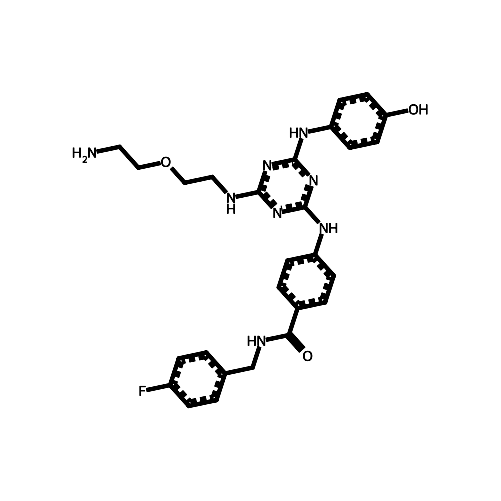 NCCOCCNc1nc(Nc2ccc(O)cc2)nc(Nc2ccc(C(=O)NCc3ccc(F)cc3)cc2)n1